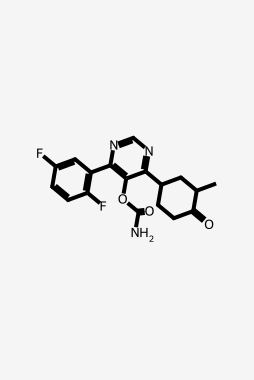 CC1CC(c2ncnc(-c3cc(F)ccc3F)c2OC(N)=O)CCC1=O